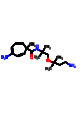 CC(C)(COC(C)(C)CCN)NC(=O)C1(C)C=CC=C(N)C=C1